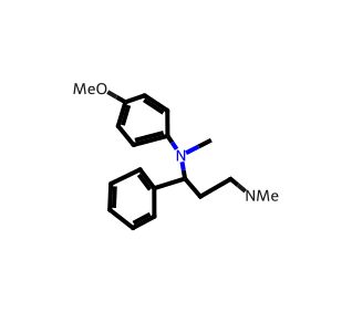 CNCCC(c1ccccc1)N(C)c1ccc(OC)cc1